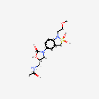 COCCN1c2ccc(N3C[C@H](CNC(C)=O)OC3=O)cc2CS1(=O)=O